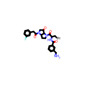 CC(C)CC(NC(=O)c1cccc(CN)c1)C(=O)N1CCC2C1C(=O)CN2C(=O)Cc1cccc(F)c1